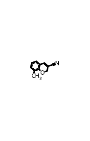 Cc1cccc2c1OCC(C#N)=C2